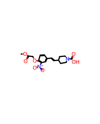 COC(=O)COc1ccc(C=CC2CCN(C(=O)O)CC2)cc1[N+](=O)[O-]